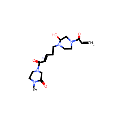 C=CC(=O)N1CCN(CC/C=C/C(=O)N2CCN(C(C)C)C(=O)C2)C(O)C1